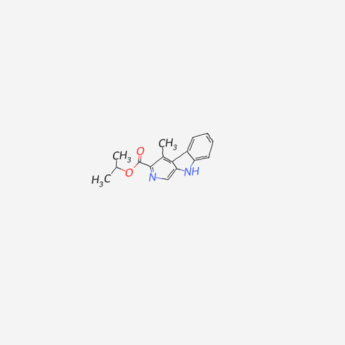 Cc1c(C(=O)OC(C)C)ncc2[nH]c3ccccc3c12